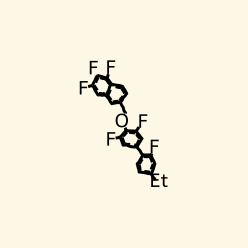 CCc1ccc(-c2cc(F)c(OCc3ccc4c(F)c(F)c(F)cc4c3)c(F)c2)c(F)c1